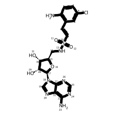 Nc1ccc(Cl)cc1/C=C/S(=O)(=O)NC[C@H]1O[C@@H](n2cnc3c(N)ncnc32)[C@H](O)[C@@H]1O